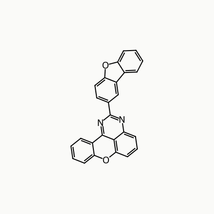 c1ccc2c(c1)Oc1cccc3nc(-c4ccc5oc6ccccc6c5c4)nc-2c13